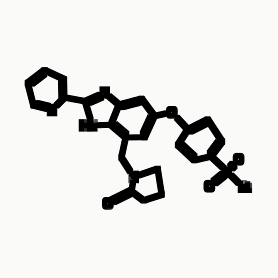 CCS(=O)(=O)c1ccc(Oc2cc(CN3CCCC3=O)c3[nH]c(-c4ccccn4)nc3c2)cc1